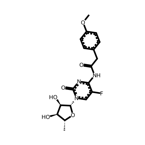 COc1ccc(CC(=O)Nc2nc(=O)n([C@@H]3O[C@H](C)[C@@H](O)[C@H]3O)cc2F)cc1